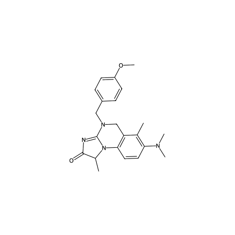 COc1ccc(CN2Cc3c(ccc(N(C)C)c3C)N3C2=NC(=O)C3C)cc1